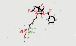 O=C(Oc1c2c3oc1c(C(=O)OCCCCC(F)(F)C(F)(F)S(=O)(=O)O)c3C(=O)O2)c1ccccc1